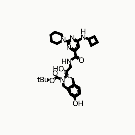 CC(C)(C)OC(=O)N1Cc2cc(O)ccc2C[C@H]1[C@H](O)CNC(=O)c1cc(NC2CCC2)nc(N2CCCCC2)n1